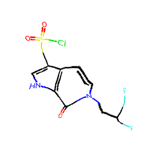 O=c1c2[nH]cc(S(=O)(=O)Cl)c2ccn1CC(F)F